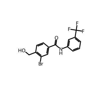 O=C(Nc1cccc(C(F)(F)F)c1)c1ccc(CO)c(Br)c1